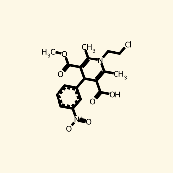 COC(=O)C1=C(C)N(CCCl)C(C)=C(C(=O)O)C1c1cccc([N+](=O)[O-])c1